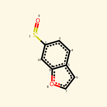 O=[S+]c1ccc2ccoc2c1